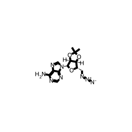 CC1(C)O[C@@H]2[C@H](O1)[C@@H](n1cnc3c(N)ncnc31)O[C@H]2CN=[N+]=[N-]